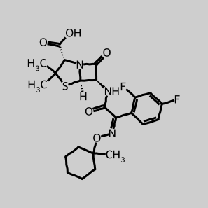 CC1(O/N=C(\C(=O)N[C@@H]2C(=O)N3[C@@H]2SC(C)(C)[C@@H]3C(=O)O)c2ccc(F)cc2F)CCCCC1